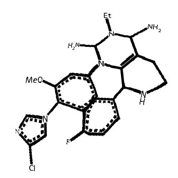 CCN1C(N)C2=C(C(c3ccc(F)cc3)NCC2)N(c2ccc(-n3cnc(Cl)c3)c(OC)c2)C1N